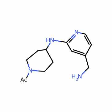 CC(=O)N1CCC(Nc2cc(CN)ccn2)CC1